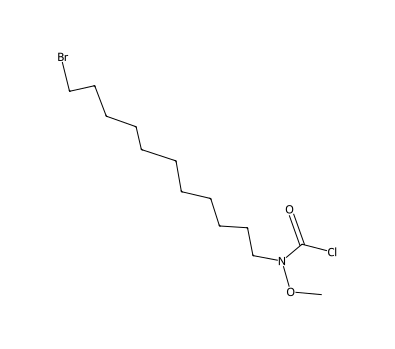 CON(CCCCCCCCCCCBr)C(=O)Cl